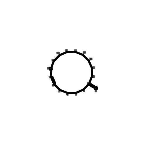 O=C1CCCCC=COCCCCCCCC1